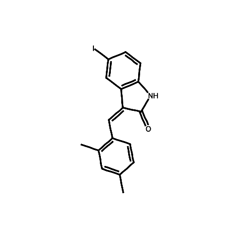 Cc1ccc(C=C2C(=O)Nc3ccc(I)cc32)c(C)c1